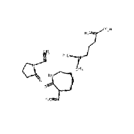 C=C(CCCN(C)C)C(=O)O.C=CC1CCCCNC1=O.C=CN1CCCC1=O